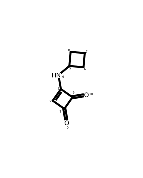 O=c1cc(NC2CCC2)c1=O